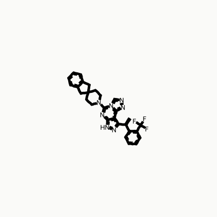 C=C(c1ccccc1C(F)(F)F)c1n[nH]c2nc(N3CCC4(CC3)Cc3ccccc3C4)n3cnnc3c12